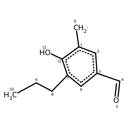 [CH2]c1cc(C=O)cc(CCC)c1O